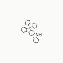 c1ccc(C2(c3ccccc3)c3ccccc3-c3cc4c(cc32)[nH]c2ccccc24)cc1